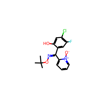 CC(C)(C)O/N=C(/c1cc(F)c(Cl)cc1O)c1cccc[n+]1[O-]